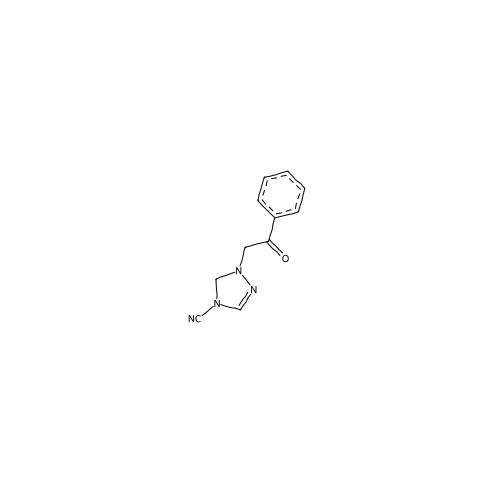 N#CN1C=NN(CC(=O)c2ccccc2)C1